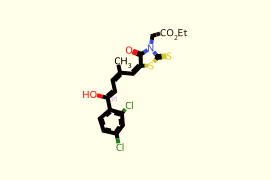 CCOC(=O)CN1C(=O)C(=CC(C)=C/C=C(\O)c2ccc(Cl)cc2Cl)SC1=S